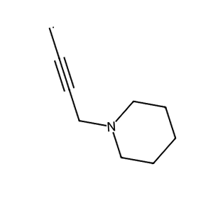 [CH2]C#CCN1CCCCC1